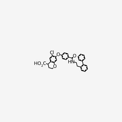 O=C(NCCc1ccccc1-c1ccccc1)c1ccc(Oc2cc3c(cc2Cl)C(C(=O)O)CCO3)cc1